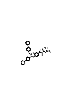 N=N/C(=N\N)NC(=O)c1ccc(CN(C(=O)Cc2ccc(-c3ccccc3)cc2)c2ccc(C3CCCCC3)cc2)cc1